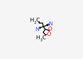 C=CCC(C#N)(C#N)C1CC(C)OC1=O